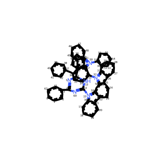 c1ccc(C2=NC(c3ccccc3)NC(n3c4ccccc4c4ccc5c6ccccc6n(-c6ccc(-c7ccccc7)c7c8ccccc8n(-c8ccccc8)c67)c5c43)=N2)cc1